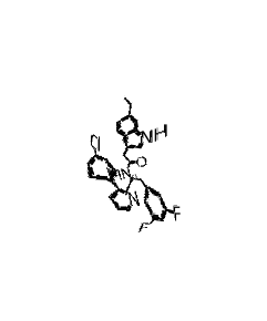 CCc1ccc2c(CC(=O)N[C@@H](Cc3cc(F)cc(F)c3)c3ncccc3-c3ccc(Cl)cc3)c[nH]c2c1